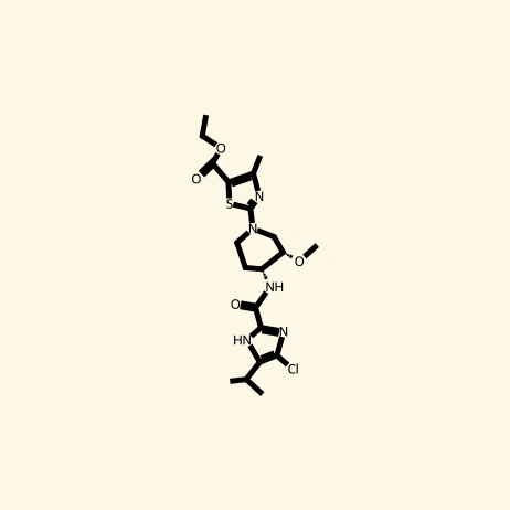 CCOC(=O)c1sc(N2CC[C@@H](NC(=O)c3nc(Cl)c(C(C)C)[nH]3)[C@@H](OC)C2)nc1C